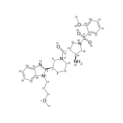 COCCCn1c([C@@H]2CCCN(C(=O)[C@@H]3CN(S(=O)(=O)c4ccccc4OC)C[C@H]3N)C2)nc2ccccc21